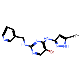 CCCc1cc(Nc2nc(NCc3cccnc3)ncc2Br)n[nH]1